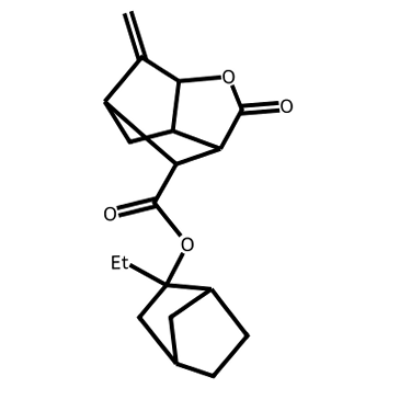 C=C1C2CC3C1OC(=O)C3C2C(=O)OC1(CC)CC2CCC1C2